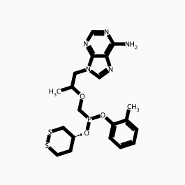 Cc1ccccc1OP(COC(C)Cn1cnc2c(N)ncnc21)O[C@@H]1CCSSC1